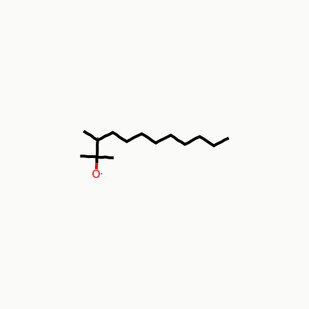 CCCCCCCCC[C](C)C(C)(C)[O]